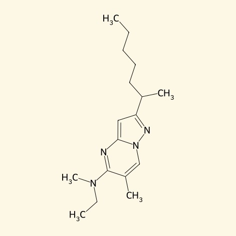 CCCCCC(C)c1cc2nc(N(C)CC)c(C)cn2n1